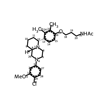 COc1cc(N2CCN3[C@@H](CCC[C@@H]3c3ccc(OCCCNC(C)=O)c(C)c3C)C2)ccc1Cl